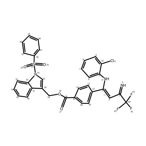 N=C(/C=C(\Nc1ccccc1Cl)c1ccc(C(=O)OCc2cn(S(=O)(=O)c3ccccc3)c3ccccc23)cc1)C(F)(F)F